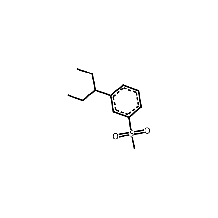 CCC(CC)c1cccc(S(C)(=O)=O)c1